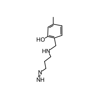 Cc1ccc(CNCCCN=N)c(O)c1